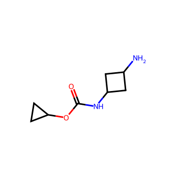 NC1CC(NC(=O)OC2CC2)C1